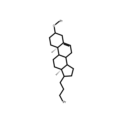 CC(C)CCCC1CCC2C3CC=C4CC(OC(C)C)CC[C@]4(C)C3CC[C@]12C